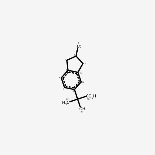 CCC1Cc2ccc(C(C)(O)C(=O)O)cc2C1